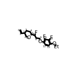 C=CC1CCC(C(F)CCOc2ccc(OCC)c(F)c2F)OC1